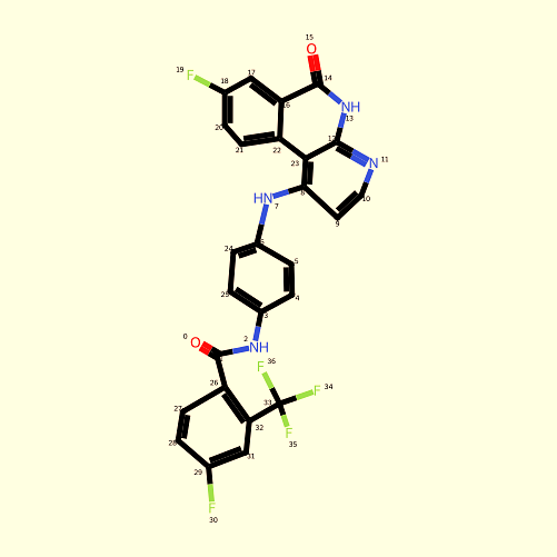 O=C(Nc1ccc(Nc2ccnc3[nH]c(=O)c4cc(F)ccc4c23)cc1)c1ccc(F)cc1C(F)(F)F